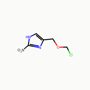 O=[N+]([O-])c1nc(COCCl)c[nH]1